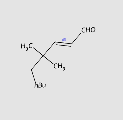 CCCCCC(C)(C)/C=C/C=O